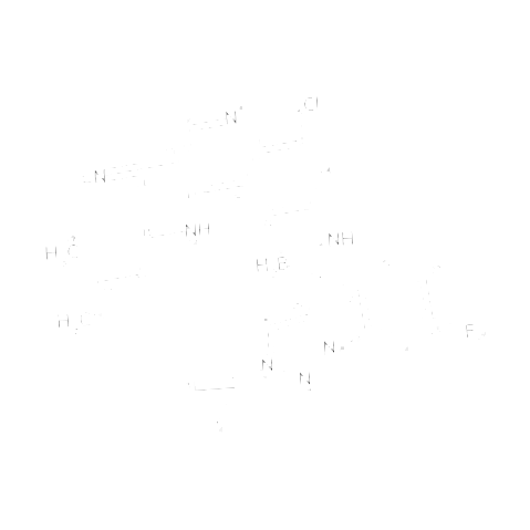 BC(Nc1cc(Cl)c2ncc(C#N)c(NCCC(C)C)c2c1)(c1ccc(F)cc1)c1cn(C2CC2)nn1